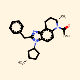 COC(=O)N1c2ccc3c(nc(Cc4ccccc4)n3[C@H]3CC[C@H](C(=O)O)C3)c2CC[C@@H]1C